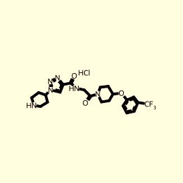 Cl.O=C(NCC(=O)N1CCC(Oc2cccc(C(F)(F)F)c2)CC1)c1cn(C2CCNCC2)nn1